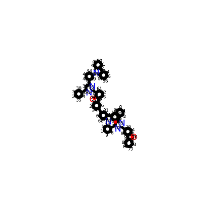 c1ccc(-c2cc(-c3ccccc3-n3c4ccccc4c4cc(-c5ccc6oc7c(-c8nc(-c9ccccc9)cc(-c9cccc(-n%10c%11ccccc%11c%11ccccc%11%10)c9)n8)cccc7c6c5)ccc43)nc(-c3ccc4oc5ccccc5c4c3)n2)cc1